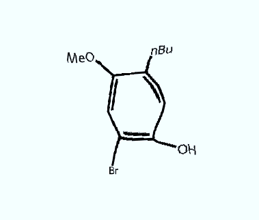 CCCCc1cc(O)c(Br)cc1OC